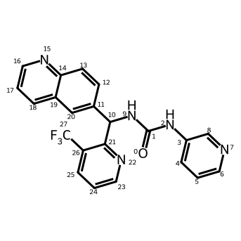 O=C(Nc1cccnc1)NC(c1ccc2ncccc2c1)c1ncccc1C(F)(F)F